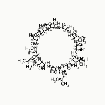 C/C=C/C[C@@H](C)[C@@H](O)C1C(=O)NC(CC)C(=O)N(C)C(SCCN(C)C)C(=O)N(C)C(CC(C)(C)O)C(=O)NC(C(C)C)C(=O)N(C)C(CC(C)C)C(=O)NC(C)C(=O)NC(C)C(=O)N(C)C(CC(C)C)C(=O)N(C)C(CC(C)C)C(=O)N(C)C(C(C)C)C(=O)N1C